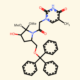 COC1(OC)C(O)CC(COC(c2ccccc2)(c2ccccc2)c2ccccc2)N1C(=O)Cn1cc(C)c(=O)[nH]c1=O